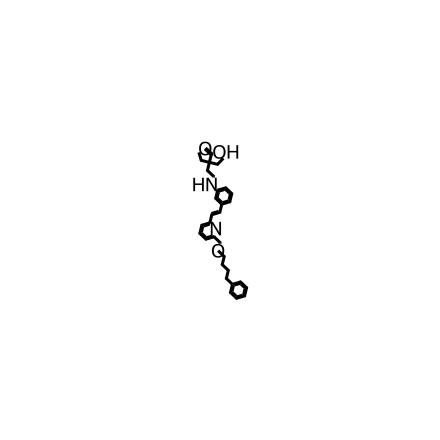 CCC(CC)(CCNc1cccc(C=Cc2cccc(COCCCCc3ccccc3)n2)c1)C(=O)O